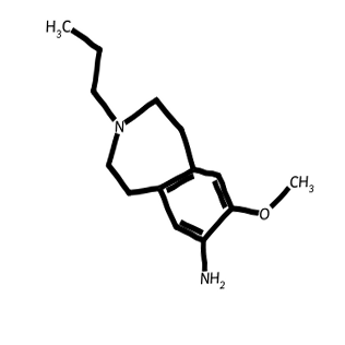 CCCN1CCc2cc(N)c(OC)cc2CC1